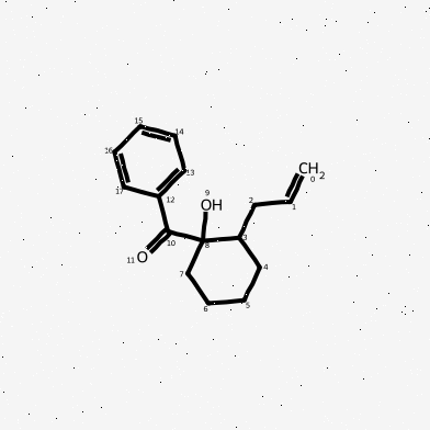 C=CCC1CCCCC1(O)C(=O)c1ccccc1